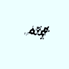 Cc1cc2cc(CN(Cc3cc(F)cc(C(F)(F)F)c3)c3nnn(C)n3)c(N(C)C)nc2n1C